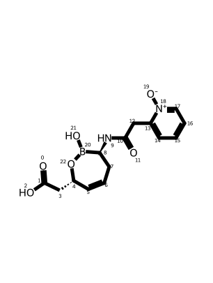 O=C(O)C[C@H]1C=CC[C@H](NC(=O)Cc2cccc[n+]2[O-])B(O)O1